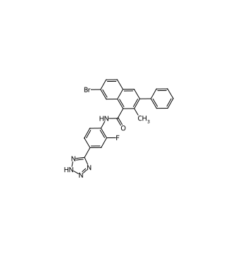 Cc1c(-c2ccccc2)cc2ccc(Br)cc2c1C(=O)Nc1ccc(-c2nn[nH]n2)cc1F